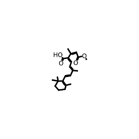 COC(=O)/C=C(/C)C(=CC=C(C)C=CC1=C(C)CCCC1(C)C)C(=O)O